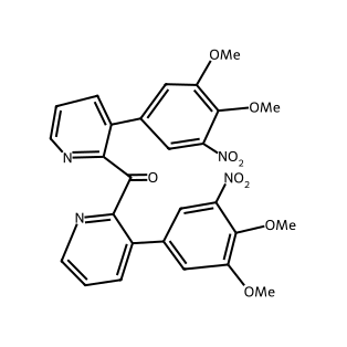 COc1cc(-c2cccnc2C(=O)c2ncccc2-c2cc(OC)c(OC)c([N+](=O)[O-])c2)cc([N+](=O)[O-])c1OC